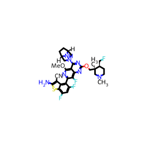 COc1nc(-c2c(F)cc(F)c3sc(N)c(C#N)c23)c(F)c2nc(OC[C@]3(C)CN(C)CC[C@@H]3CF)nc(N3C[C@H]4CC[C@@H](C3)N4)c12